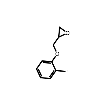 [CH]c1ccccc1OCC1CO1